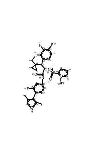 Cc1c[nH]c(C)c1-c1ncc(NC(=O)[C@@H](NC(=O)c2ccnn2C(C)C)C2c3ccc(F)c(F)c3OCC23CC3)cc1F